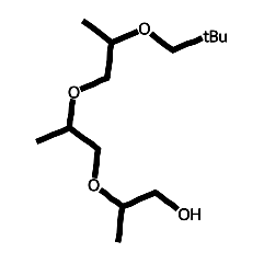 CC(CO)OCC(C)OCC(C)OCC(C)(C)C